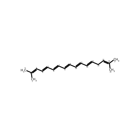 CC(C)=CC=CC=CC=CC=CC=CCC=C(C)C